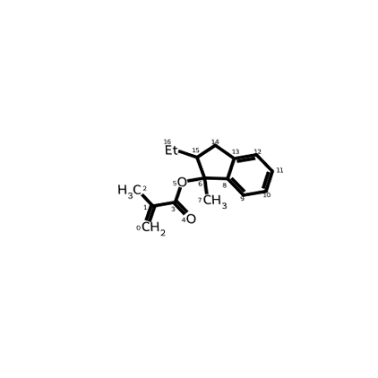 C=C(C)C(=O)OC1(C)c2ccccc2CC1CC